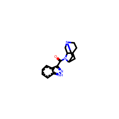 O=C(c1n[nH]c2ccccc12)N1C2CC3CCN(C2)CC31